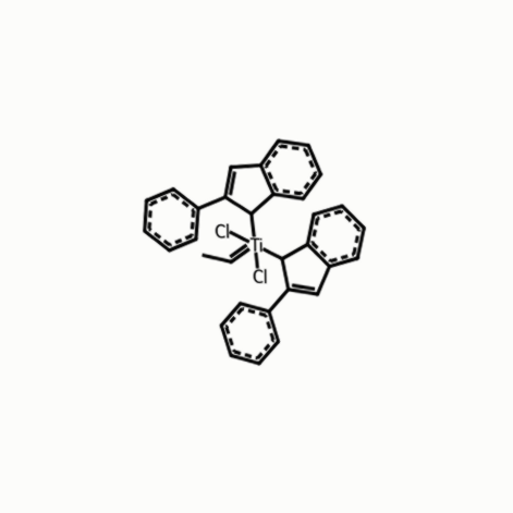 C[CH]=[Ti]([Cl])([Cl])([CH]1C(c2ccccc2)=Cc2ccccc21)[CH]1C(c2ccccc2)=Cc2ccccc21